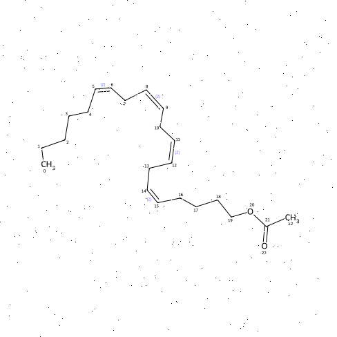 CCCCC/C=C\C/C=C\C/C=C\C/C=C\CCCCOC(C)=O